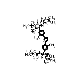 Cc1cc(N(C(=O)OC(C)(C)C)C(N)=NC(=O)OC(C)(C)C)ccc1-c1ccc(-c2ccc(N(C(=O)OC(C)(C)C)C(N)=NC(=O)OC(C)(C)C)cc2C)o1